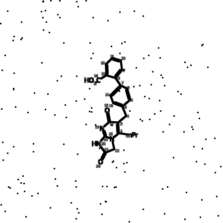 CCCc1c(Cc2ccc(-c3ccccc3C(=O)O)cc2)c(=O)nc2n1CC(=O)N2